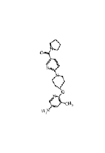 Cc1cc(N)cnc1OC1CCN(c2ccc(C(=O)N3CCCC3)cn2)CC1